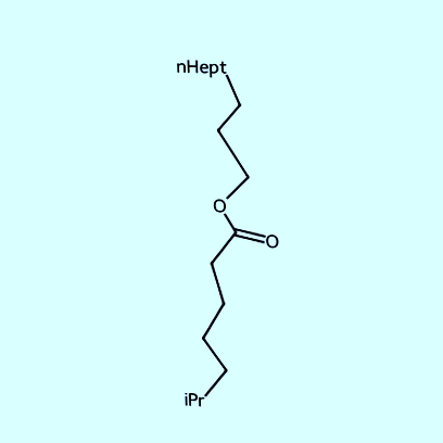 CCCCCCCCCCOC(=O)CCCCC(C)C